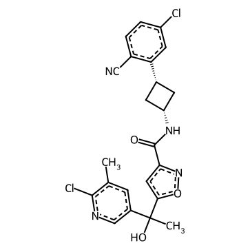 Cc1cc(C(C)(O)c2cc(C(=O)N[C@H]3C[C@@H](c4cc(Cl)ccc4C#N)C3)no2)cnc1Cl